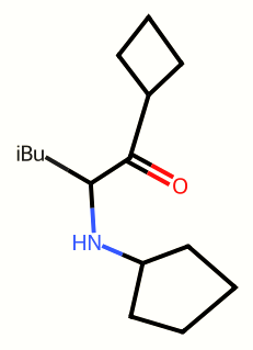 CCC(C)C(NC1CCCC1)C(=O)C1CCC1